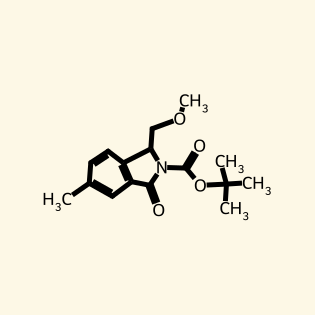 COCC1c2ccc(C)cc2C(=O)N1C(=O)OC(C)(C)C